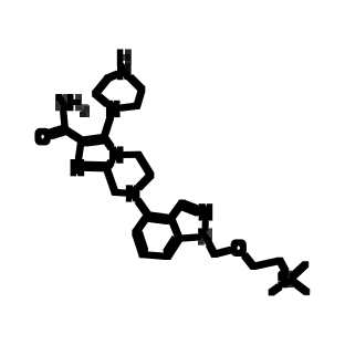 C[Si](C)(C)CCOCn1ncc2c(N3CCn4c(nc(C(N)=O)c4N4CCNCC4)C3)cccc21